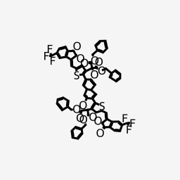 O=C1C(=O)c2ccc(C(F)(F)F)cc2/C1=C/c1cc2c(s1)C1=CC3C=C4OC(C(=O)OCc5ccccc5)(C(=O)OCc5ccccc5)C5=C(SC(/C=C6\C(=O)C(=O)c7ccc(C(F)(F)F)cc76)C5)C4=CC3C=C1OC2(C(=O)OCc1ccccc1)C(=O)OCc1ccccc1